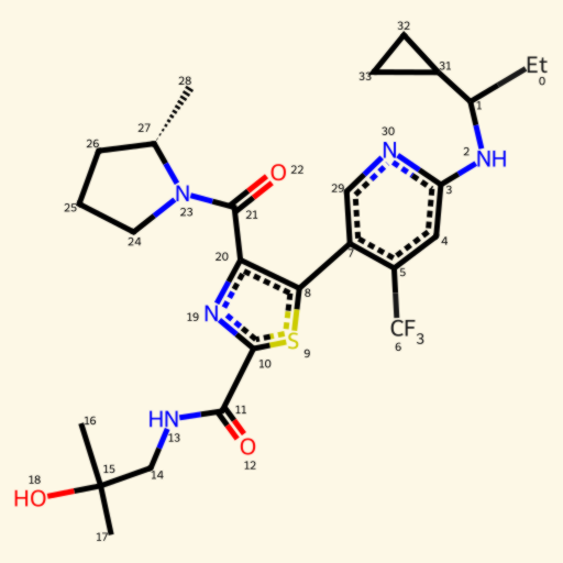 CCC(Nc1cc(C(F)(F)F)c(-c2sc(C(=O)NCC(C)(C)O)nc2C(=O)N2CCC[C@@H]2C)cn1)C1CC1